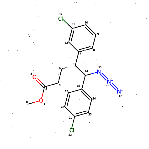 COC(=O)CC[C@H](c1cccc(Cl)c1)C(N=[N+]=[N-])c1ccc(Cl)cc1